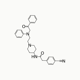 N#Cc1ccc(CC(=O)NC2CCN(CCN(CC(=O)c3ccccc3)c3ccccc3)CC2)cc1